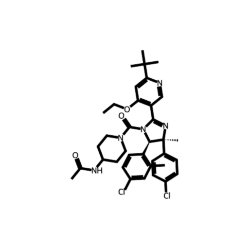 CCOc1cc(C(C)(C)C)ncc1C1=N[C@@](C)(c2ccc(Cl)cc2)[C@@H](c2ccc(Cl)cc2C)N1C(=O)N1CCC(NC(C)=O)CC1